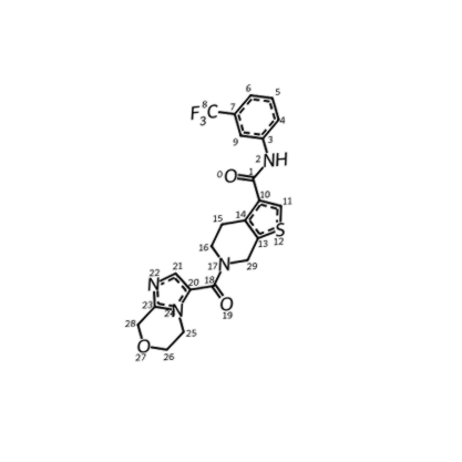 O=C(Nc1cccc(C(F)(F)F)c1)c1csc2c1CCN(C(=O)c1cnc3n1CCOC3)C2